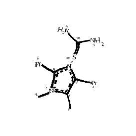 Cc1c(C(C)C)nc(C(C)C)n1C.NC(N)=S